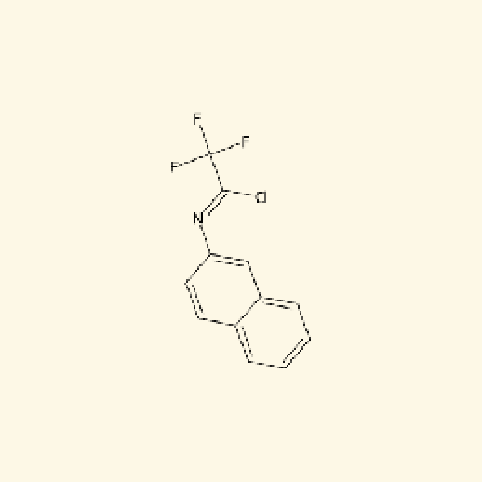 FC(F)(F)C(Cl)=Nc1ccc2ccccc2c1